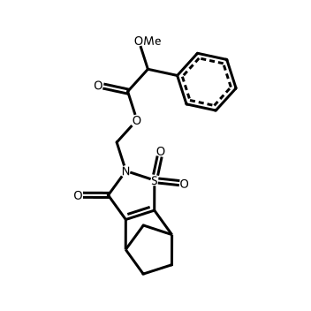 COC(C(=O)OCN1C(=O)C2=C(C3CCC2C3)S1(=O)=O)c1ccccc1